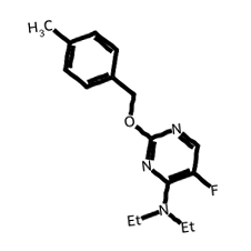 CCN(CC)c1nc(OCc2ccc(C)cc2)ncc1F